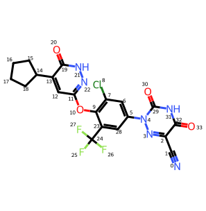 N#Cc1nn(-c2cc(Cl)c(Oc3cc(C4CCCC4)c(=O)[nH]n3)c(C(F)(F)F)c2)c(=O)[nH]c1=O